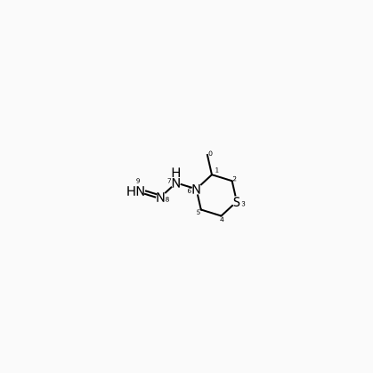 CC1CSCCN1NN=N